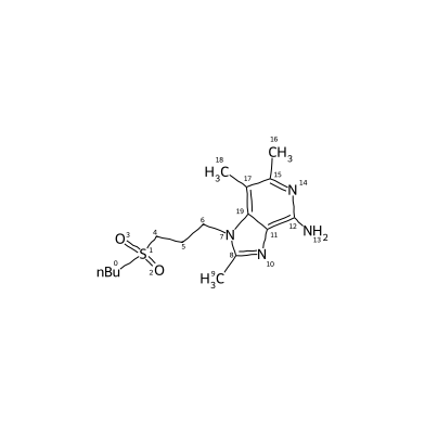 CCCCS(=O)(=O)CCCn1c(C)nc2c(N)nc(C)c(C)c21